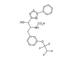 O=C(O)NC(Cc1cccc(OC(F)(F)C(F)F)c1)C(O)c1csc(-c2ccccc2)n1